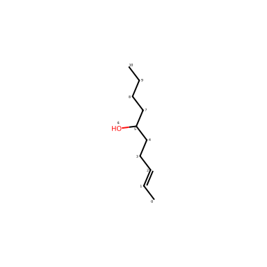 CC=CCCC(O)CCCC